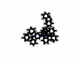 c1ccc(C2(c3ccc(N(c4ccc(-c5ccc6sc7ccccc7c6c5)cc4)c4cccc5c4C4(c6ccccc6-c6ccccc64)c4ccccc4-5)cc3)c3ccccc3-c3ccccc32)cc1